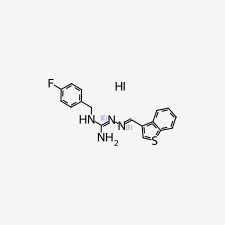 I.N/C(=N\N=C\c1csc2ccccc12)NCc1ccc(F)cc1